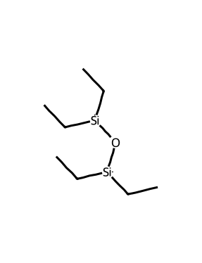 CC[Si](CC)O[Si](CC)CC